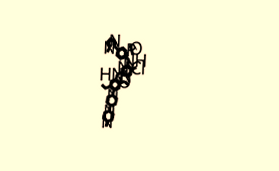 CCc1cc(Nc2ncc(Cl)c(Nc3ccc(-c4nccn4C)cc3P(C)(C)=O)n2)c(OC)cc1N1CCC(N2CCN(C)CC2)CC1